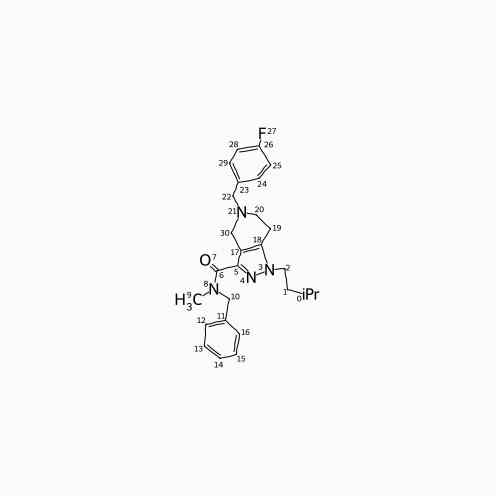 CC(C)CCn1nc(C(=O)N(C)Cc2ccccc2)c2c1CCN(Cc1ccc(F)cc1)C2